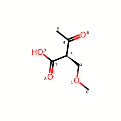 COC[C@H](C(C)=O)C(=O)O